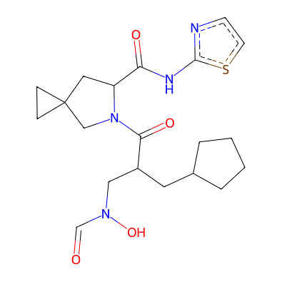 O=CN(O)CC(CC1CCCC1)C(=O)N1CC2(CC2)CC1C(=O)Nc1nccs1